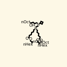 CCCCCCCCC(O)CCCN(CCN(CCCCCC(=O)OCC(CCCCCC)CCCCCCCC)CCCCCC(=O)OCC(CCCCCC)CCCCCCCC)C1CCC1